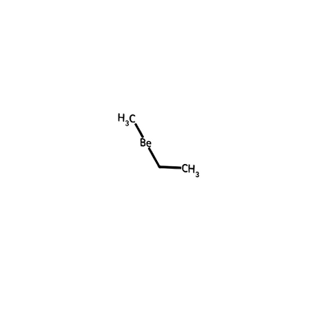 [CH3][Be][CH2]C